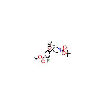 CCOC(=O)c1ccc(C2(O[Si](C)(C)C)CCN(C(=O)OC(C)(C)C)CC2)cc1F